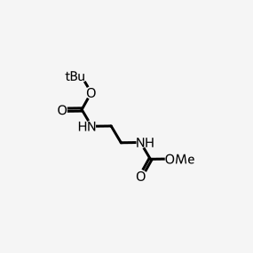 COC(=O)NCCNC(=O)OC(C)(C)C